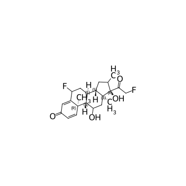 CC1C[C@H]2[C@@H]3CC(F)C4=CC(=O)C=C[C@]4(C)[C@H]3C(O)C[C@]2(C)[C@@]1(O)C(=O)CF